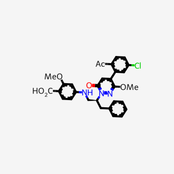 COc1cc(NC[C@H](Cc2ccccc2)n2nc(OC)c(-c3cc(Cl)ccc3C(C)=O)cc2=O)ccc1C(=O)O